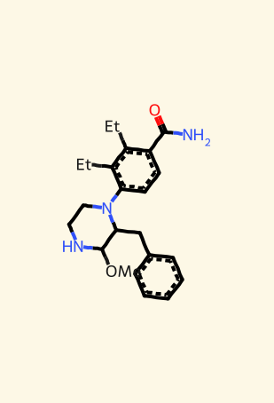 CCc1c(C(N)=O)ccc(N2CCNC(OC)C2Cc2ccccc2)c1CC